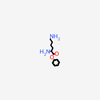 NCCCCC(N)C(=O)Oc1ccccc1